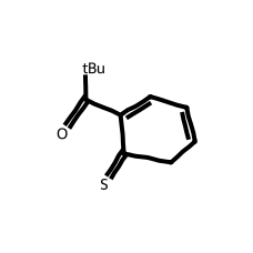 CC(C)(C)C(=O)C1=CC=CCC1=S